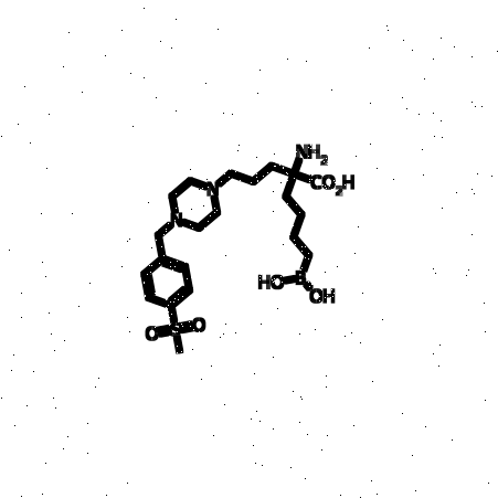 CS(=O)(=O)c1ccc(CN2CCN(CCCC(N)(CCCCB(O)O)C(=O)O)CC2)cc1